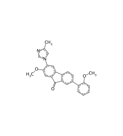 COc1ccccc1-c1ccc2c(c1)C(=O)c1cc(OC)c(-n3cnc(C)c3)cc1-2